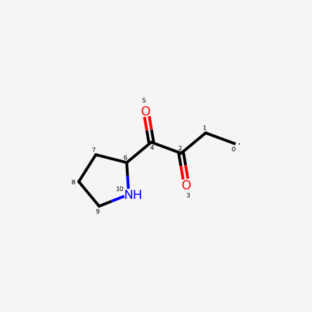 [CH2]CC(=O)C(=O)C1CCCN1